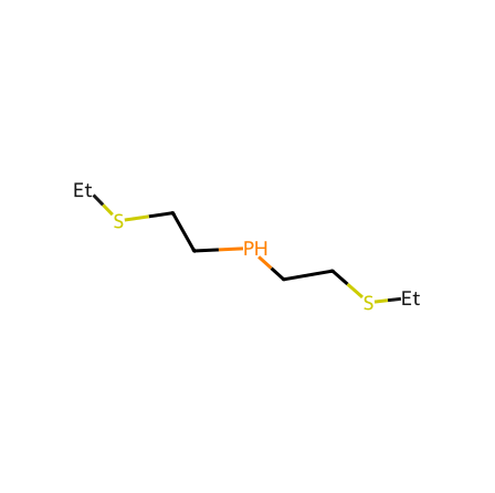 CCSCCPCCSCC